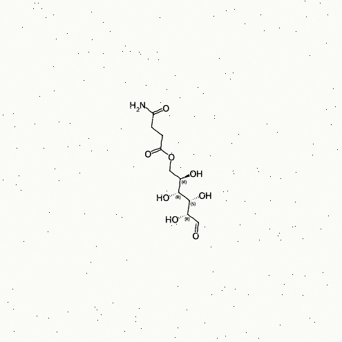 NC(=O)CCC(=O)OC[C@@H](O)[C@@H](O)[C@H](O)[C@@H](O)C=O